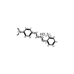 CN(C)c1ccc(N=NN=Nc2ccccc2S(=O)(=O)O)cc1